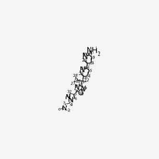 CN(C)CCn1cc(-c2nc(C(C)(c3ccc(-c4ccc(N)nc4)nc3)C3CC3)no2)cn1